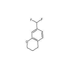 FC(F)c1ccc2c(c1)OCCC2